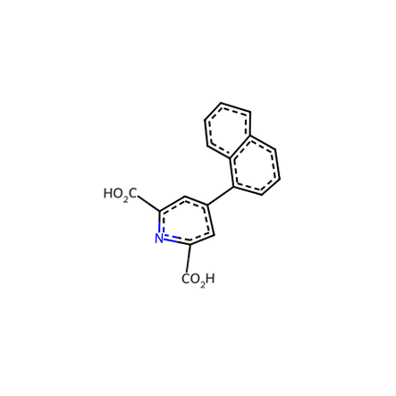 O=C(O)c1cc(-c2cccc3ccccc23)cc(C(=O)O)n1